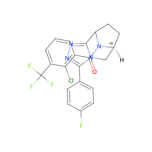 O=C(c1cccc(C(F)(F)F)c1Cl)N1C2CC[C@H]1Cn1c(-c3ccc(F)cc3)nnc12